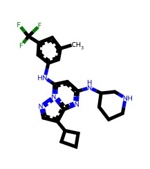 Cc1cc(Nc2cc(NC3CCCNC3)nc3c(C4CCC4)cnn23)cc(C(F)(F)F)c1